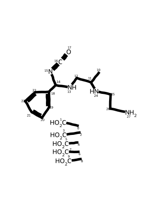 CC(=O)O.CC(=O)O.CC(=O)O.CC(=O)O.CC(=O)O.CC(CNC(N=C=O)c1ccccc1)NCCN